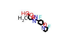 C=C(Cc1nc(-c2ccc(Oc3ncccc3F)cc2F)no1)C(=O)O